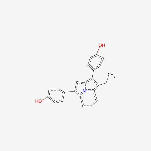 CCc1c(-c2ccc(O)cc2)c2cc(-c3ccc(O)cc3)c3cccc1n32